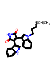 CN(O)CCCn1cc(C2=C(c3c[nH]c4ccccc34)C(=O)NC2=O)c2ccccc21